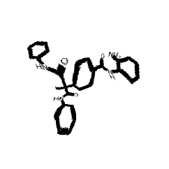 CC(C(=O)Nc1ccccc1)(C(=O)Nc1ccccc1)c1ccc(C(=O)Nc2ccccc2N)cc1